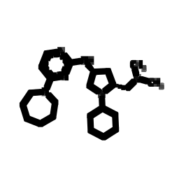 CN(C)C[C@H]1C[C@H](Nc2nccc(N3CCCCCC3)n2)CN1C1CCCCC1